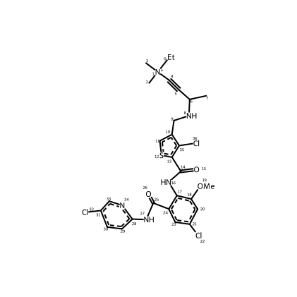 CC[N+](C)(C)C#CC(C)NCc1csc(C(=O)Nc2c(OC)cc(Cl)cc2C(=O)Nc2ccc(Cl)cn2)c1Cl